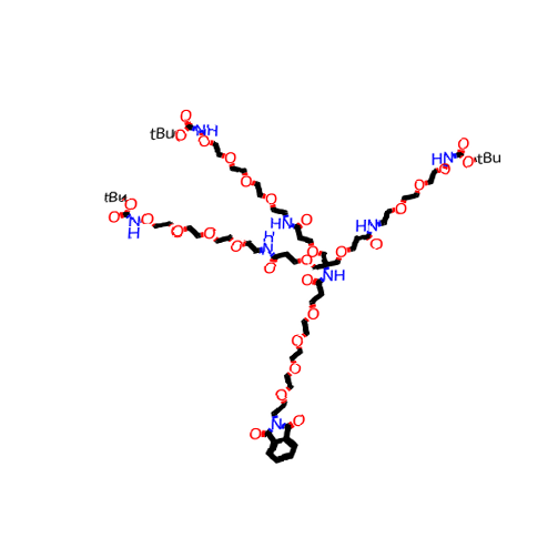 CC(C)(C)OC(=O)NOCCOCCOCCNC(=O)CCOCC(COCCC(=O)NCCOCCOCCOCCONC(=O)OC(C)(C)C)(COCCC(=O)NCCOCCOCCOCCONC(=O)OC(C)(C)C)NC(=O)CCOCCOCCOCCOCCN1C(=O)c2ccccc2C1=O